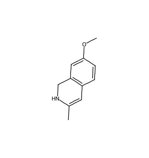 COc1ccc2c(c1)CNC(C)=C2